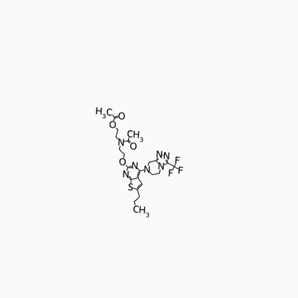 CCCc1cc2c(N3CCn4c(nnc4C(F)(F)F)C3)nc(OCCN(CCOC(C)=O)C(C)=O)nc2s1